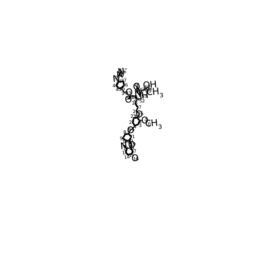 COc1cc(COc2ccc3nc4ccc(=O)cc-4oc3c2)ccc1OC/C=C/C1=C(C(=O)OCc2ccc(N=[N+]=[N-])cc2)N2C(=O)[C@H]([C@@H](C)O)[C@H]2C1